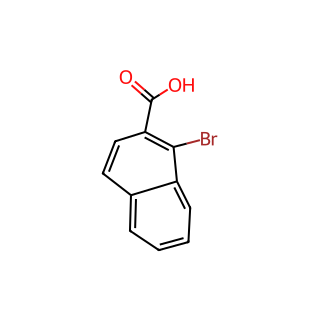 O=C(O)c1ccc2ccccc2c1Br